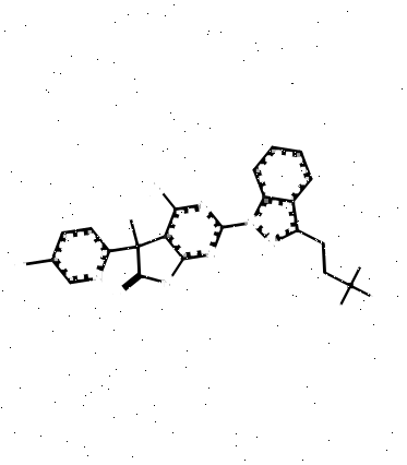 CC1(c2ccc(Cl)cn2)C(=O)Nc2nc(-n3nc(CCC(F)(F)C(F)(F)F)c4ccccc43)nc(N)c21